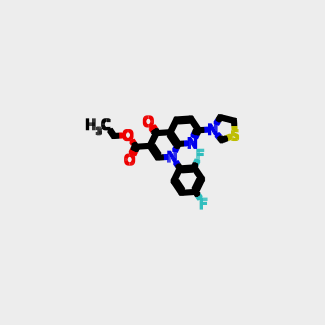 CCOC(=O)c1cn(-c2ccc(F)cc2F)c2nc(N3CCSC3)ccc2c1=O